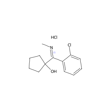 C/N=C(/c1ccccc1Cl)C1(O)CCCC1.Cl